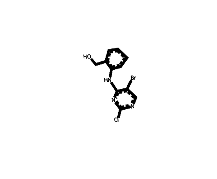 OCc1ccccc1Nc1nc(Cl)ncc1Br